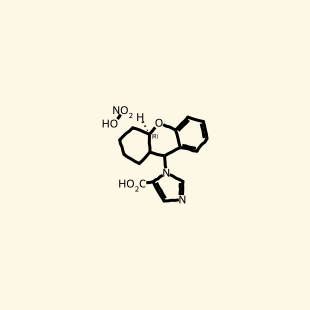 O=C(O)c1cncn1C1c2ccccc2O[C@@H]2CCCCC12.O=[N+]([O-])O